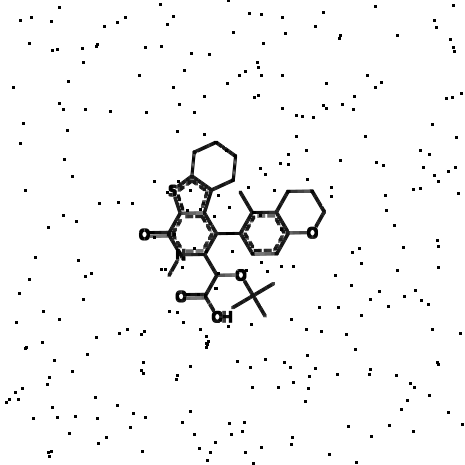 Cc1c(-c2c(C(OC(C)(C)C)C(=O)O)n(C)c(=O)c3sc4c(c23)CCCC4)ccc2c1CCCO2